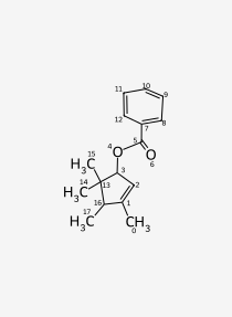 CC1=CC(OC(=O)c2ccccc2)C(C)(C)C1C